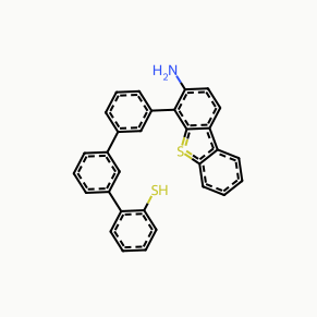 Nc1ccc2c(sc3ccccc32)c1-c1cccc(-c2cccc(-c3ccccc3S)c2)c1